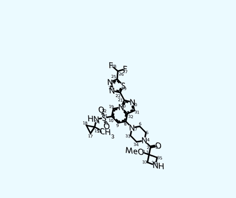 COC1(C(=O)N2CCN(c3cc(S(=O)(=O)NC4(C)CC4)cn4c(-c5nnc(C(F)F)s5)ncc34)CC2)CNC1